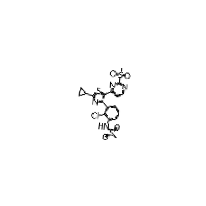 CS(=O)(=O)Nc1cccc(-c2nc(C3CC3)sc2-c2ccnc(S(C)(=O)=O)n2)c1Cl